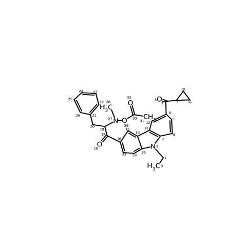 CCn1c2ccc(C(=O)C3CC3)cc2c2cc(C(=O)C(Cc3ccccc3)N(C)OC(C)=O)ccc21